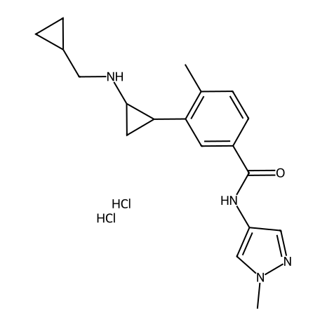 Cc1ccc(C(=O)Nc2cnn(C)c2)cc1C1CC1NCC1CC1.Cl.Cl